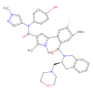 COc1cc(C(=O)N2Cc3ccccc3C[C@H]2CN2CCOCC2)c(-c2cc(C(=O)N(c3ccc(O)cc3)c3cnn(C)c3)c(C)n2C)cc1F